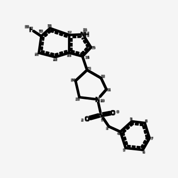 O=S(=O)(Cc1ccccc1)N1CCC(c2c[nH]c3cc(F)ccc23)CC1